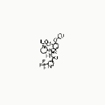 C=CC(=O)N1CCCCC(n2c(NC(=O)c3ccnc(C(F)(F)F)c3)nc3ccc(O[C@H]4CCOC4)c(Cl)c32)C1